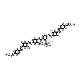 Cc1cc(N=Nc2ccc(C=Cc3ccc(N=Nc4cc(C)c(N=Nc5ccc(C(=O)O)cc5)cc4C)cc3S(=O)(=O)O)c(OC(O)O)c2)c(C)cc1N=Nc1ccc(C(=O)O)cc1